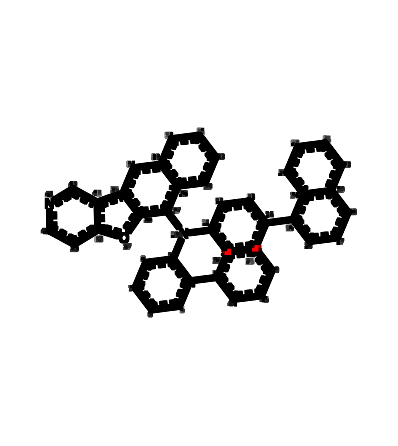 c1ccc(-c2ccccc2N(c2ccc(-c3cccc4ccccc34)cc2)c2c3ccccc3cc3c2oc2ccncc23)cc1